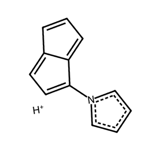 C1=CC2=CC=C(n3cccc3)C2=C1.[H+]